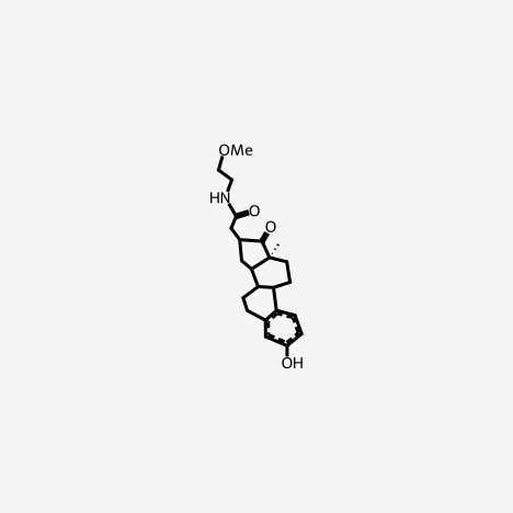 COCCNC(=O)CC1CC2C3CCc4cc(O)ccc4C3CC[C@]2(C)C1=O